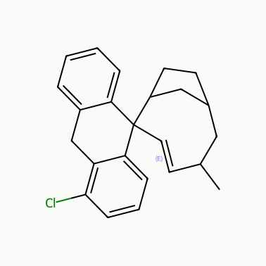 CC1/C=C/C2(c3ccccc3Cc3c(Cl)cccc32)C2CCC(C1)C2